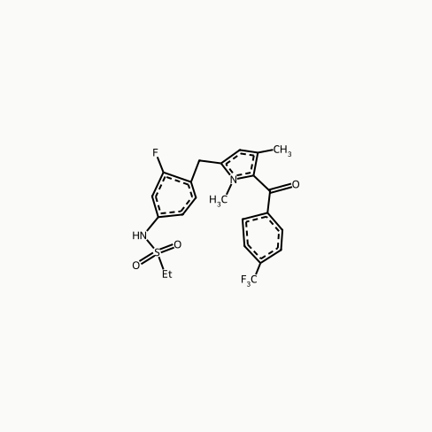 CCS(=O)(=O)Nc1ccc(Cc2cc(C)c(C(=O)c3ccc(C(F)(F)F)cc3)n2C)c(F)c1